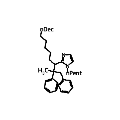 CCCCCCCCCCCCCCCC(c1nccn1CCCCC)C(C)(Cc1ccccc1)c1ccccc1